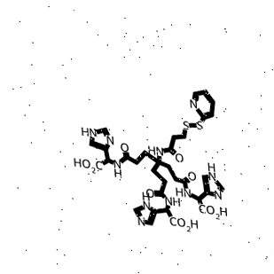 O=C(CCC(CCC(=O)NC(C(=O)O)c1c[nH]cn1)(CCC(=O)NC(C(=O)O)c1cnc[nH]1)NC(=O)CCSSc1ccccn1)NC(C(=O)O)c1c[nH]cn1